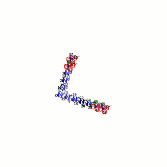 C[N+](C)(C)C.C[N+](C)(C)C.C[N+](C)(C)C.C[N+](C)(C)C.C[N+](C)(C)C.C[N+](C)(C)C.C[N+](C)(C)C.C[N+](C)(C)C.O=P([O-])([O-])F.O=P([O-])([O-])F.O=P([O-])([O-])F.O=P([O-])([O-])F